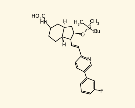 CC(C)(C)[Si](C)(C)O[C@@H]1C[C@@H]2CC(NC(=O)O)CC[C@H]2[C@@H]1/C=C/c1ccc(-c2cccc(F)c2)cn1